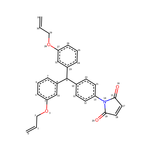 C=CCOc1cccc(C(c2ccc(N3C(=O)C=CC3=O)cc2)c2cccc(OCC=C)c2)c1